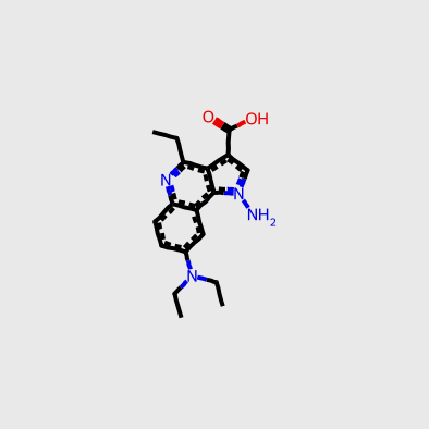 CCc1nc2ccc(N(CC)CC)cc2c2c1c(C(=O)O)cn2N